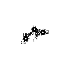 NCCN(c1ccccc1OCCNc1ccc(Cl)cc1)S(=O)(=O)c1ccc(Cl)cc1